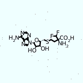 Nc1ncnc2c1ncn2[C@@H]1O[C@H](CSCC[C@](N)(C(=O)O)C(F)F)[C@@H](O)[C@H]1O